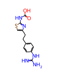 N=C(N)Nc1ccc(CCc2csc(NC(=O)O)n2)cc1